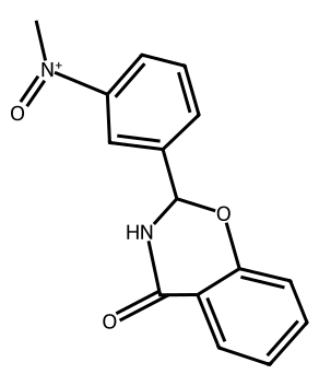 C[N+](=O)c1cccc(C2NC(=O)c3ccccc3O2)c1